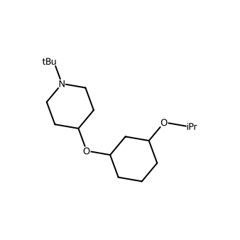 CC(C)OC1CCCC(OC2CCN(C(C)(C)C)CC2)C1